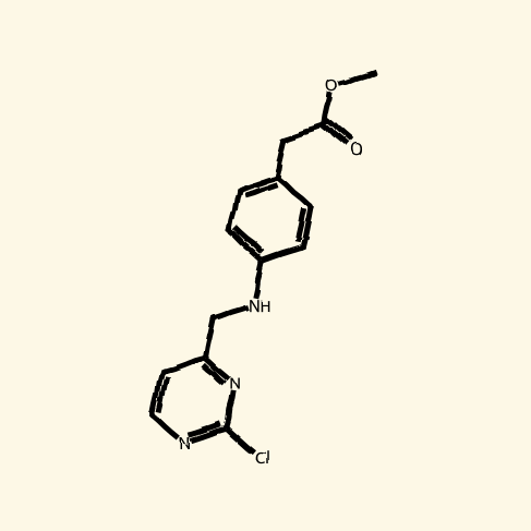 COC(=O)Cc1ccc(NCc2ccnc(Cl)n2)cc1